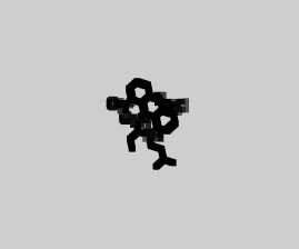 CCC(NCCC(C)C)Nc1c2ccccc2nc2cccc([N+](=O)[O-])c12.Cl.Cl